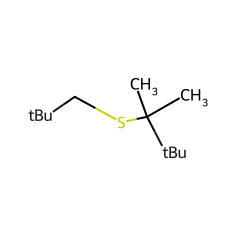 CC(C)(C)CSC(C)(C)C(C)(C)C